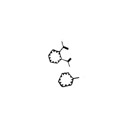 Cc1ccccc1.O=C([O-])c1ccccc1C(=O)O.[Na+]